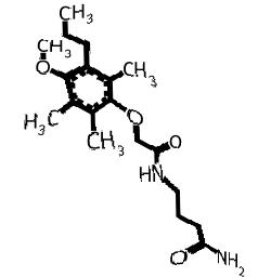 CCCc1c(C)c(OCC(=O)NCCCC(N)=O)c(C)c(C)c1OC